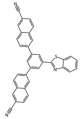 N#Cc1ccc2cc(-c3cc(-c4ccc5cc(C#N)ccc5c4)cc(-c4nc5ccccc5s4)c3)ccc2c1